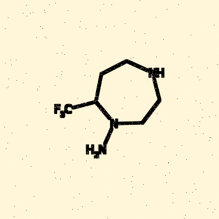 NN1CCNCCC1C(F)(F)F